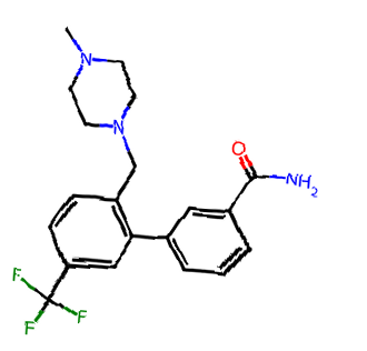 CN1CCN(Cc2ccc(C(F)(F)F)cc2-c2cccc(C(N)=O)c2)CC1